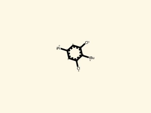 CC(C)c1cc(Cl)c(C(C)(C)C)c(Cl)c1